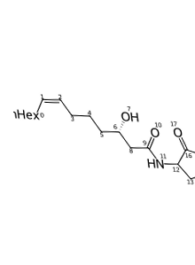 CCCCCC/C=C\CCC[C@H](O)CC(=O)NC1CCOC1=O